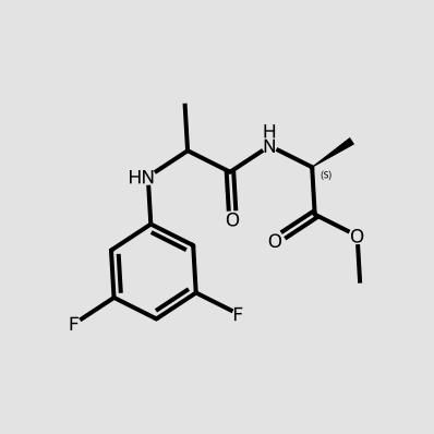 COC(=O)[C@H](C)NC(=O)C(C)Nc1cc(F)cc(F)c1